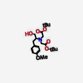 COc1ccc(CC(CO)N(CC(=O)OC(C)(C)C)CC(=O)OC(C)(C)C)cc1